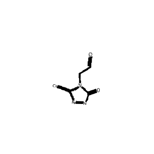 O=CCN1C(=O)N=NC1=O